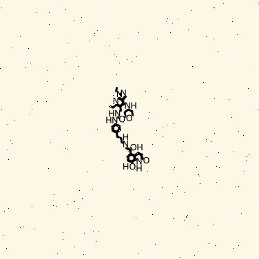 CCc1nc2c(cnn2CC)c(NC2CCOCC2)c1CNC(=O)Nc1ccc(CCCNC[C@H](O)c2ccc(O)c3[nH]c(=O)ccc23)cc1